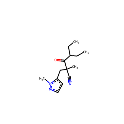 CCC(CC)C(=O)C(C)(C#N)Cc1ccnn1C